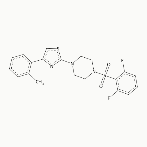 Cc1ccccc1-c1csc(N2CCN(S(=O)(=O)c3c(F)cccc3F)CC2)n1